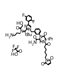 CC(C)[C@H](NC(=O)CCCCCN1C(=O)C=CC1=O)C(=O)N(c1cccc(Cn2cc(-c3cc(F)ccc3F)nc2[C@H](N(CCCN)C(=O)CO)C(C)(C)C)c1)[C@@H](C)C(N)=O.O=C(O)C(F)(F)F